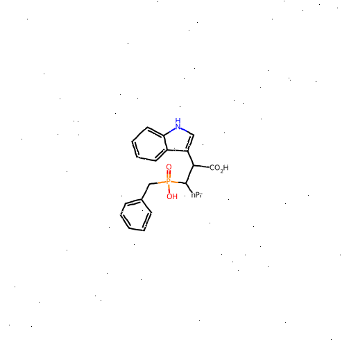 CCCC(C(C(=O)O)c1c[nH]c2ccccc12)P(=O)(O)Cc1ccccc1